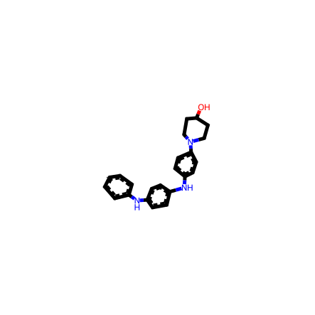 OC1CCN(c2ccc(Nc3ccc(Nc4cc[c]cc4)cc3)cc2)CC1